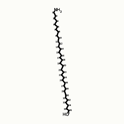 NCCCCCCCCCCCCCCCCCCCCCCCCCCCCCCCCCCCCO